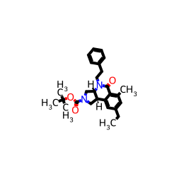 CCc1cc(C)c2c(c1)[C@H]1CN(C(=O)OC(C)(C)C)C[C@@H]1N(CCc1ccccc1)C2=O